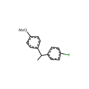 COc1ccc(C(C)c2ccc(F)cc2)cc1